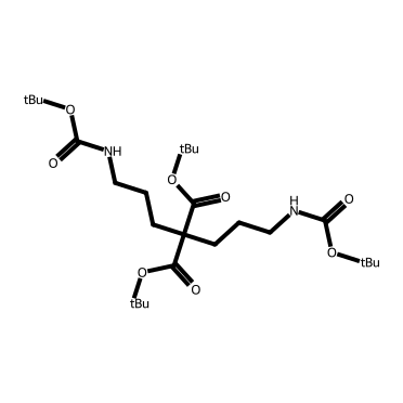 CC(C)(C)OC(=O)NCCCC(CCCNC(=O)OC(C)(C)C)(C(=O)OC(C)(C)C)C(=O)OC(C)(C)C